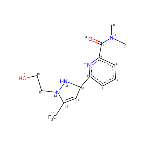 CN(C)C(=O)c1cccc(C2C=C(C(F)(F)F)N(CCO)N2)n1